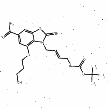 CC(C)(C)OC(=O)NC/C=C/Cn1c(=N)sc2cc(C(N)=O)cc(OCCCO)c21